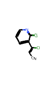 N#CC=C(Cl)c1cccnc1Cl